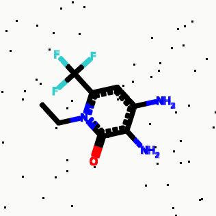 CCn1c(C(F)(F)F)cc(N)c(N)c1=O